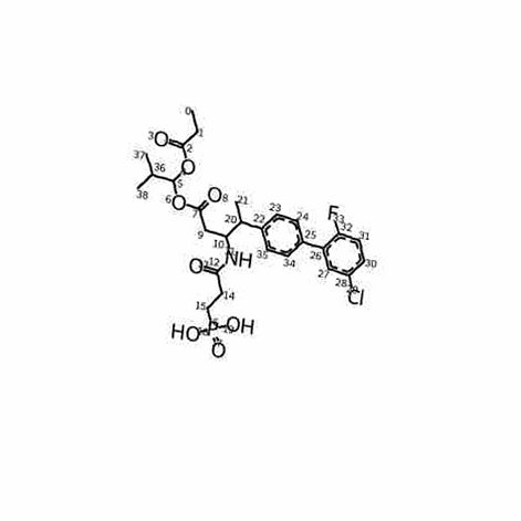 CCC(=O)OC(OC(=O)CC(NC(=O)CCP(=O)(O)O)C(C)c1ccc(-c2cc(Cl)ccc2F)cc1)C(C)C